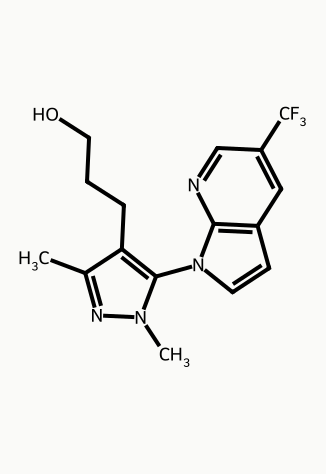 Cc1nn(C)c(-n2ccc3cc(C(F)(F)F)cnc32)c1CCCO